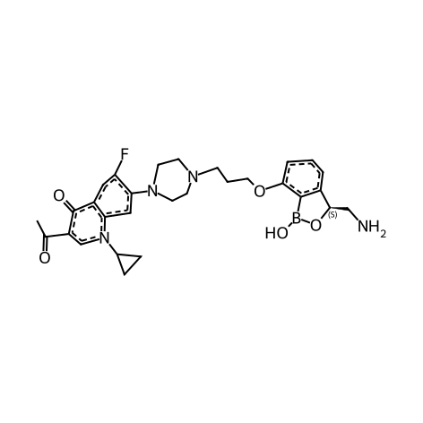 CC(=O)c1cn(C2CC2)c2cc(N3CCN(CCCOc4cccc5c4B(O)O[C@@H]5CN)CC3)c(F)cc2c1=O